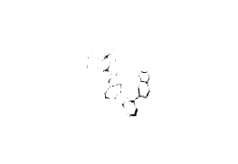 CC(C)(C)OC(=O)NC[C@H]1CC[C@@H](Oc2nccc(-c3ccc4ccccc4c3)n2)CC1